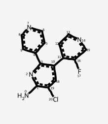 Nc1nc(-c2ccncc2)c(-c2ccncc2F)cc1Cl